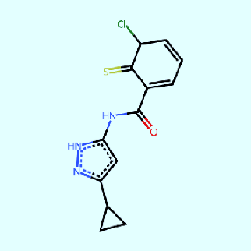 O=C(Nc1cc(C2CC2)n[nH]1)C1=CC=CC(Cl)C1=S